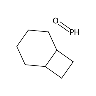 C1CCC2CCC2C1.O=P